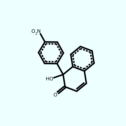 O=C1C=Cc2ccccc2C1(O)c1ccc([N+](=O)[O-])cc1